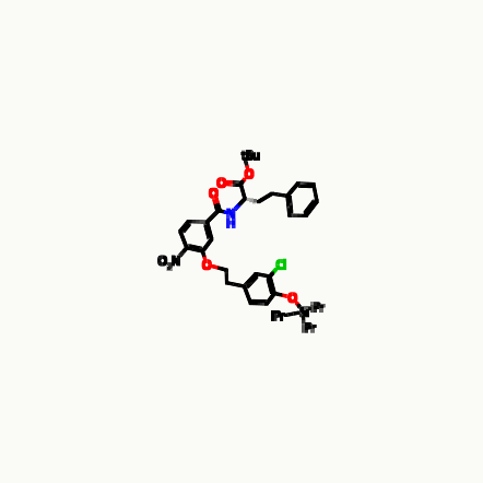 CC(C)[Si](Oc1ccc(CCOc2cc(C(=O)N[C@@H](CCc3ccccc3)C(=O)OC(C)(C)C)ccc2[N+](=O)[O-])cc1Cl)(C(C)C)C(C)C